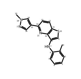 Cc1ccccc1Nc1csc2ccc(-c3cnn(C)c3)nc12